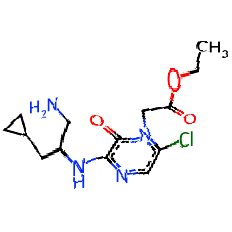 CCOC(=O)Cn1c(Cl)cnc(NC(CN)CC2CC2)c1=O